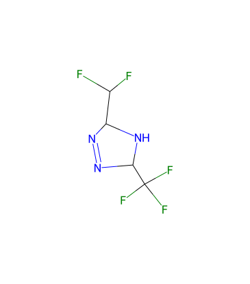 FC(F)C1N=NC(C(F)(F)F)N1